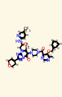 CCc1c(N2CCN(C(=O)c3ncnc(C)c3OCc3ccccc3)CC2)c(=O)n2nc(C3=CCOCC3)nc2n1CC(=O)Nc1ccc(C(F)(F)F)cn1